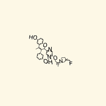 CC1=C(c2cccc(O)c2)C(c2cnc(OC[C@H](C)N3CC[C@@H](CF)C3)cn2)Oc2ccc(O)cc21